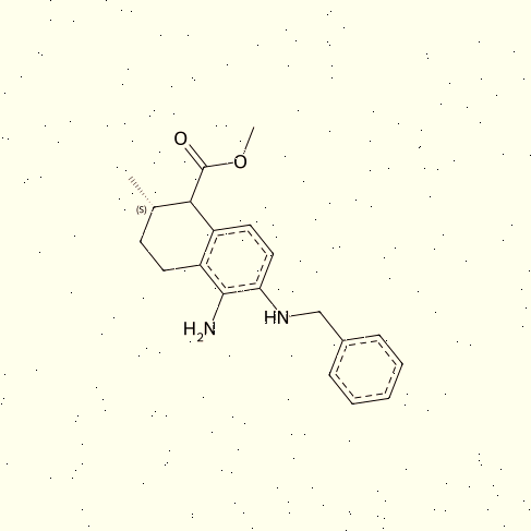 COC(=O)C1c2ccc(NCc3ccccc3)c(N)c2CC[C@@H]1C